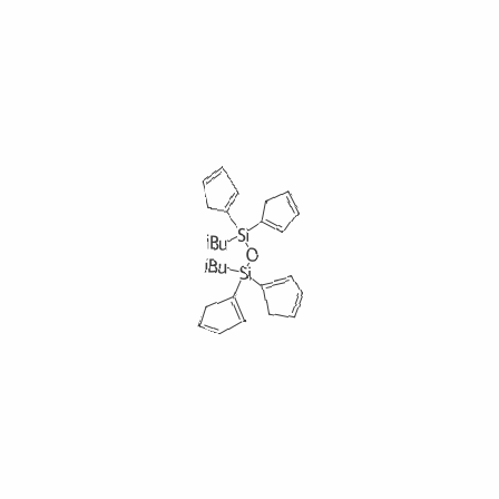 CCC(C)[Si](O[Si](C1=CC=CC1)(C1=CC=CC1)C(C)CC)(C1=CC=CC1)C1=CC=CC1